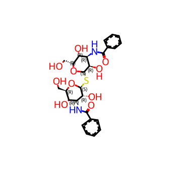 O=C(N[C@@H]1[C@@H](O)[C@@H](CO)O[C@@H](S[C@@H]2O[C@H](CO)[C@H](O)[C@@H](NC(=O)c3ccccc3)[C@H]2O)[C@@H]1O)c1ccccc1